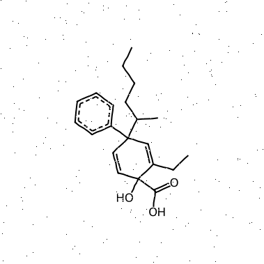 CCCCC(C)C1(c2ccccc2)C=CC(O)(C(=O)O)C(CC)=C1